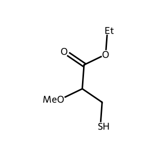 CCOC(=O)C(CS)OC